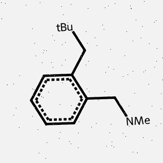 CNCc1ccccc1CC(C)(C)C